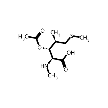 CN[C@H](C(=O)O)[C@H](OC(C)=O)[C@@H](C)CSC